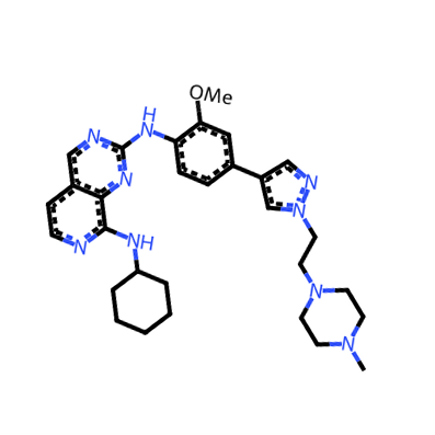 COc1cc(-c2cnn(CCN3CCN(C)CC3)c2)ccc1Nc1ncc2ccnc(NC3CCCCC3)c2n1